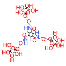 O=C(NCCOCCO[C@@H]1OC(CO)[C@H](O)C(O)C1O)c1c(I)c(C(=O)NCCOCCO[C@@H]2OC(CO)[C@H](O)C(O)C2O)c(I)c(C(=O)NCCOCCO[C@@H]2OC(CO)[C@H](O)C(O)C2O)c1I